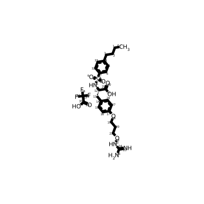 CCCCc1ccc(S(=O)(=O)N[C@@H](Cc2ccc(OCCCONC(=N)N)cc2)C(=O)O)cc1.O=C(O)C(F)(F)F